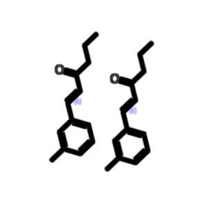 CCCC(=O)/C=C/c1cccc(C)c1.CCCC(=O)/C=C/c1cccc(C)c1